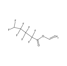 C=COC(=O)C(F)(F)C(F)(F)C(F)(F)C(F)F